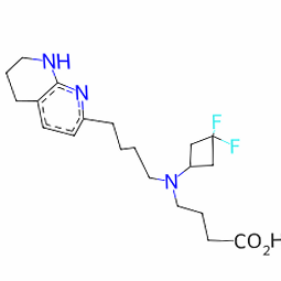 O=C(O)CCCN(CCCCc1ccc2c(n1)NCCC2)C1CC(F)(F)C1